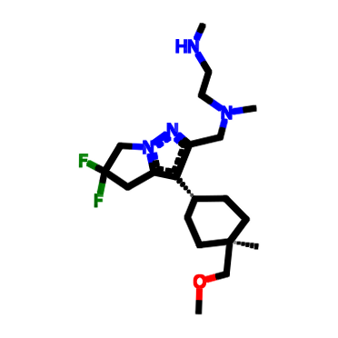 CNCCN(C)Cc1nn2c(c1[C@H]1CC[C@](C)(COC)CC1)CC(F)(F)C2